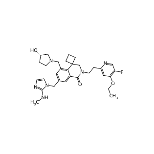 CCOc1cc(CCN2CC3(CCC3)c3c(CN4CC[C@H](O)C4)cc(Cn4ccnc4NC)cc3C2=O)ncc1F